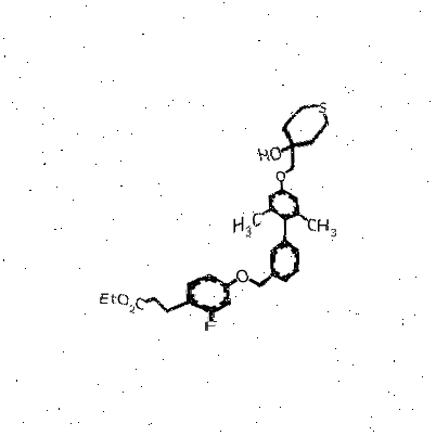 CCOC(=O)CCc1ccc(OCc2cccc(-c3c(C)cc(OCC4(O)CCSCC4)cc3C)c2)cc1F